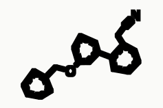 N#CCc1ccccc1-c1cccc(OCc2ccccc2)c1